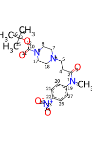 CN(C(=O)CCN1CCN(C(=O)OC(C)(C)C)CC1)c1ccc([N+](=O)[O-])cc1